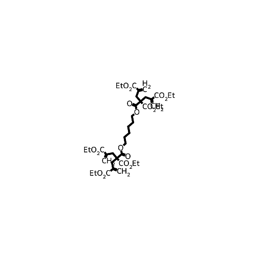 C=C(CC(CC(=C)C(=O)OCC)(C(=O)OCC)C(=O)OCCCCCCOC(=O)C(CC(=C)C(=O)OCC)(CC(=C)C(=O)OCC)C(=O)OCC)C(=O)OCC